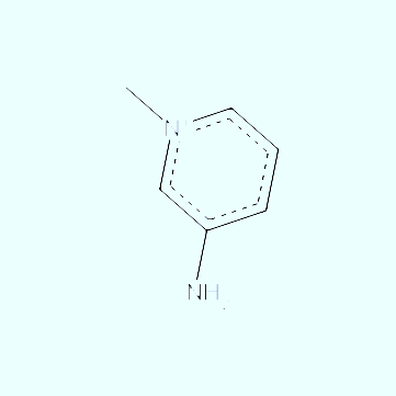 [CH2][n+]1cccc(N)c1